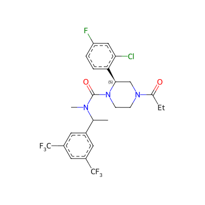 CCC(=O)N1CCN(C(=O)N(C)C(C)c2cc(C(F)(F)F)cc(C(F)(F)F)c2)[C@@H](c2ccc(F)cc2Cl)C1